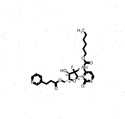 CCCCCCOC(=O)Nc1ccnc(=O)n1[C@@H]1O[C@H](COC(=O)CCc2cccnc2)[C@@H](O)C1(F)F